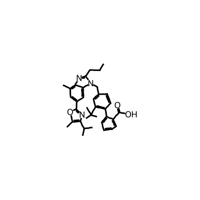 CCCc1nc2c(C)cc(-c3nc(C(C)C)c(C)o3)cc2n1Cc1ccc(-c2ccccc2C(=O)O)c(C(C)(C)C)c1